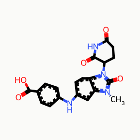 Cn1c(=O)n(C2CCC(=O)NC2=O)c2ccc(Nc3ccc(C(=O)O)cc3)cc21